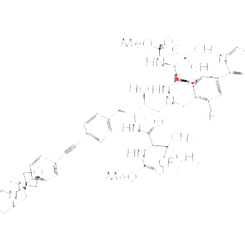 COC(=O)NC(C(=O)N[C@@H](Cc1ccc(C#Cc2ccc(N3CC4CCC(C3)N4C3COC3)cc2)cc1)[C@@H](O)CN(Cc1c(F)cc(-c2ccccn2)cc1F)NC(=O)[C@@H](NC(=O)OC)C(C)(C)C(F)(F)F)C(C)(C)C(F)(F)F